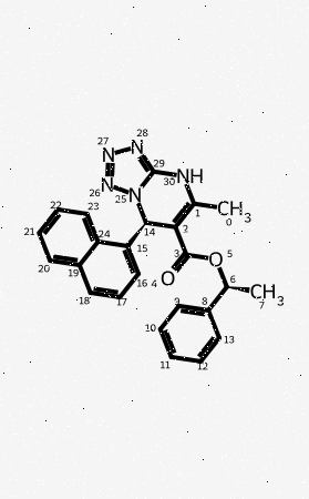 CC1=C(C(=O)O[C@@H](C)c2ccccc2)[C@@H](c2cccc3ccccc23)n2nnnc2N1